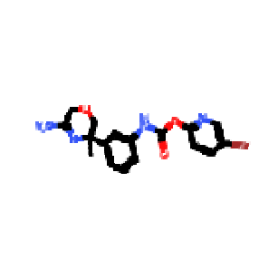 CC1(c2cccc(NC(=O)Oc3ccc(Br)cn3)c2)COCC(N)=N1